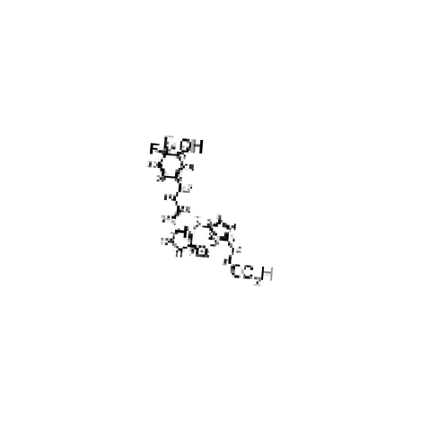 O=C(O)CCc1ccc(CN2C(=O)CC[C@@H]2C=CCCC2=CC(O)C(F)(F)C=C2)s1